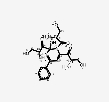 N[C@@H](CO)C(=O)C1=NC(c2ccccc2)=NC(O)(C(=O)[C@@H](N)CO)N1C(=O)[C@@H](N)CO